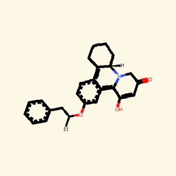 CCC(Cc1ccccc1)Oc1ccc2c(c1)=C1C(O)=CC(=O)CN1[C@H]1CCCCC=21